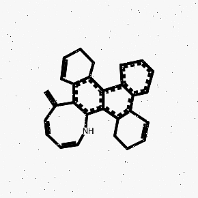 C=C1/C=C\C=C/Nc2c1c1c(c3c2c2c(c4ccccc43)C=CCC2)CCC=C1